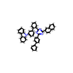 c1ccc(-c2ccc(-c3nc(-c4ccc5ccccc5c4)nc(-c4ccccc4-c4cccc(-n5c6ccccc6c6ccccc65)c4)n3)cc2)cc1